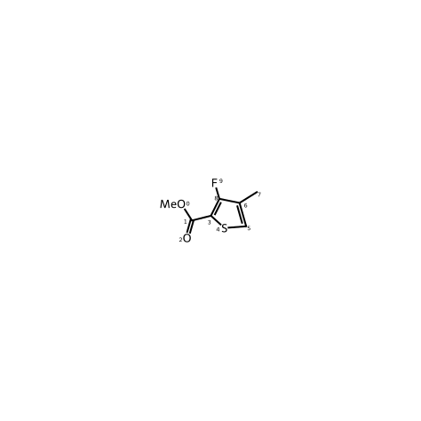 COC(=O)c1scc(C)c1F